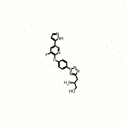 NC(CO)Cc1nnn(-c2ccc(Oc3ncc(-c4ccn[nH]4)cc3F)cc2)n1